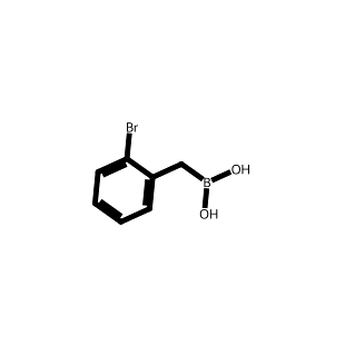 OB(O)Cc1ccccc1Br